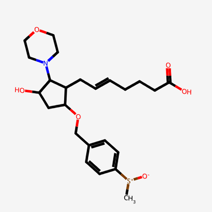 C[S+]([O-])c1ccc(COC2CC(O)C(N3CCOCC3)C2CC=CCCCC(=O)O)cc1